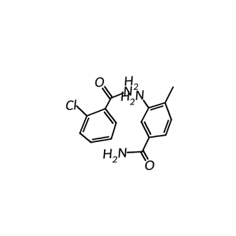 Cc1ccc(C(N)=O)cc1N.NC(=O)c1ccccc1Cl